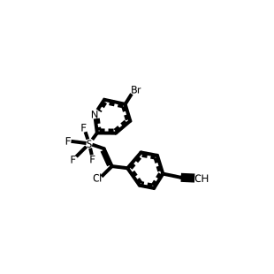 C#Cc1ccc(C(Cl)=CS(F)(F)(F)(F)c2ccc(Br)cn2)cc1